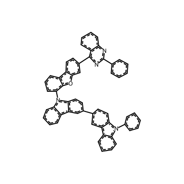 c1ccc(-c2nc(-c3ccc4c(c3)oc3c(-n5c6ccccc6c6cc(-c7ccc8c(c7)c7ccccc7n8-c7ccccc7)ccc65)cccc34)c3ccccc3n2)cc1